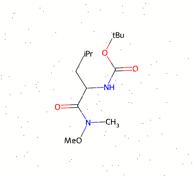 CON(C)C(=O)C(CC(C)C)NC(=O)OC(C)(C)C